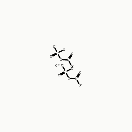 O=[N+]([O-])OP(=O)([O-])[O-].O=[N+]([O-])OP(=O)([O-])[O-].[C+4]